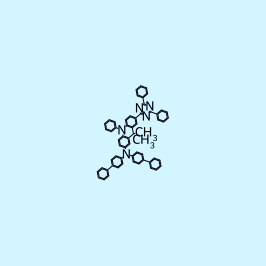 CC1(C)c2cc(-c3nc(-c4ccccc4)nc(-c4ccccc4)n3)ccc2N(c2ccccc2)c2ccc(N(c3ccc(-c4ccccc4)cc3)c3ccc(-c4ccccc4)cc3)cc21